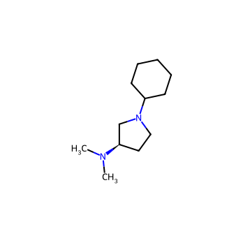 CN(C)[C@@H]1CCN(C2CCCCC2)C1